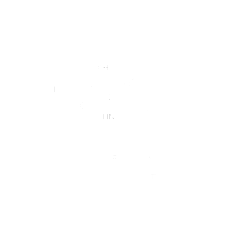 CC(C)(CCl)C(=O)Nc1ccc(F)[c]([Ti])c1F